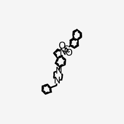 O=S(=O)(c1ccc2ccccc2c1)n1ccc2cc(N3CCN(Cc4ccccc4)CC3)ccc21